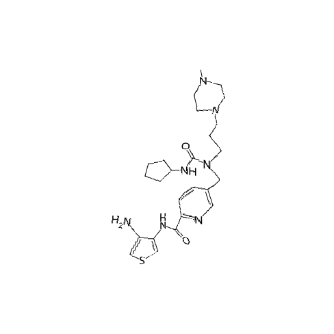 CN1CCN(CCCN(Cc2ccc(C(=O)Nc3cscc3N)nc2)C(=O)NC2CCCC2)CC1